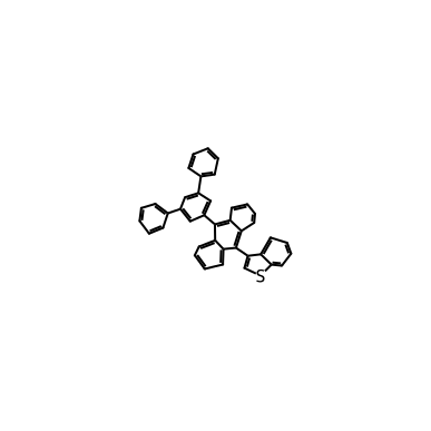 c1ccc(-c2cc(-c3ccccc3)cc(-c3c4ccccc4c(-c4csc5ccccc45)c4ccccc34)c2)cc1